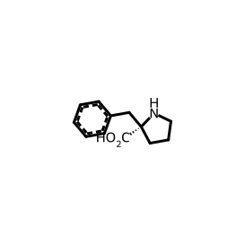 O=C(O)[C@@]1(Cc2ccccc2)CCCN1